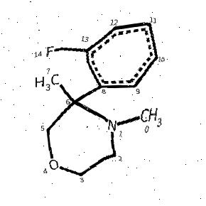 CN1CCOCC1(C)c1ccccc1F